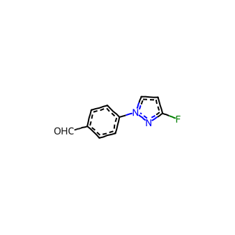 O=Cc1ccc(-n2ccc(F)n2)cc1